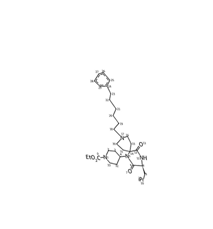 CCOC(=O)N1CCC(N2C(=O)[C@H](CC(C)C)NC(=O)C23CCN(CCCCCCc2ccccc2)CC3)CC1